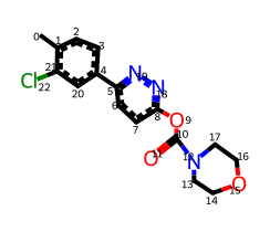 Cc1ccc(-c2ccc(OC(=O)N3CCOCC3)nn2)cc1Cl